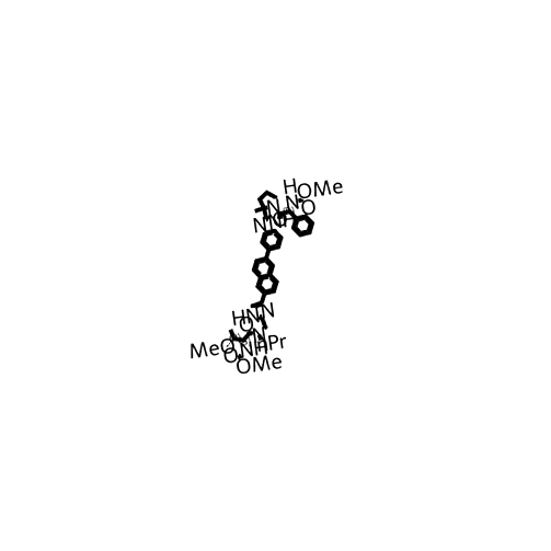 CCCN(Cc1nc(-c2ccc3cc(-c4ccc5[nH]c(C6(C)CCCN6C(=O)[C@H](NC(=O)OC)c6ccccc6)nc5c4)ccc3c2)c[nH]1)C(=O)[C@@H](NC(=O)OC)[C@@H](C)OC